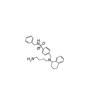 NCCCCN(Cc1ccc(S(=O)(=O)NCc2ccccc2)cc1)C1CCCc2ccccc21